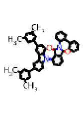 Cc1cc(C)cc(-c2ccc3c(c2)c2cc(-c4cc(C)cc(C)c4)ccc2n3-c2cccc3c2C(=O)N(c2ccccc2-c2ccccc2)C3=O)c1